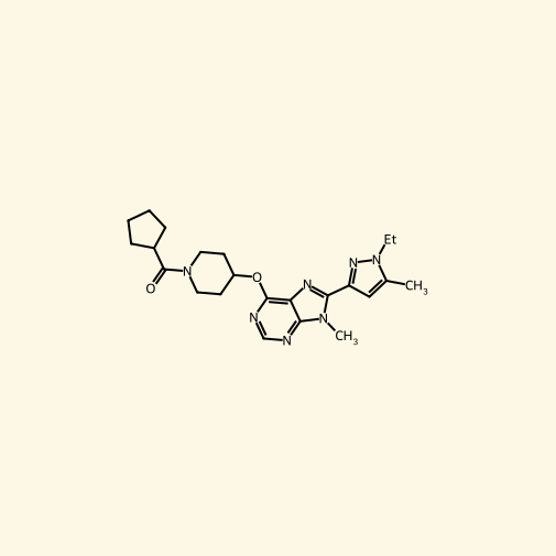 CCn1nc(-c2nc3c(OC4CCN(C(=O)C5CCCC5)CC4)ncnc3n2C)cc1C